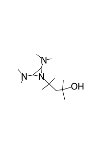 CN(C)C1C(N(C)C)N1C(C)(C)CC(C)(C)O